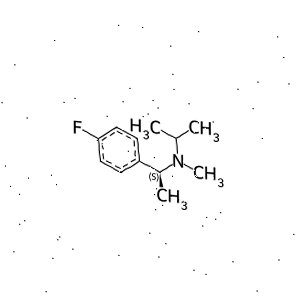 CC(C)N(C)[C@@H](C)c1ccc(F)cc1